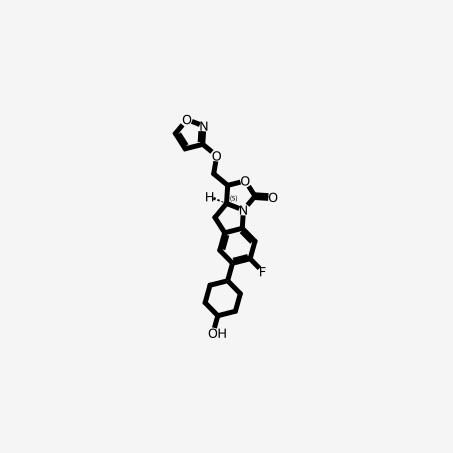 O=C1OC(COc2ccon2)[C@@H]2Cc3cc(C4CCC(O)CC4)c(F)cc3N12